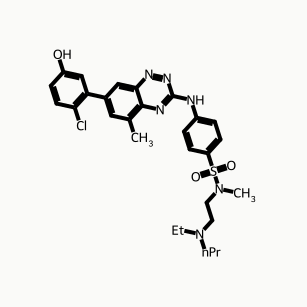 CCCN(CC)CCN(C)S(=O)(=O)c1ccc(Nc2nnc3cc(-c4cc(O)ccc4Cl)cc(C)c3n2)cc1